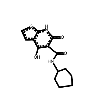 O=C(NC1CCCCC1)c1c(O)c2ccsc2[nH]c1=O